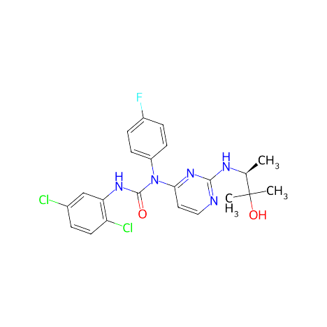 C[C@H](Nc1nccc(N(C(=O)Nc2cc(Cl)ccc2Cl)c2ccc(F)cc2)n1)C(C)(C)O